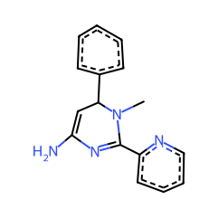 CN1C(c2ccccn2)=NC(N)=CC1c1ccccc1